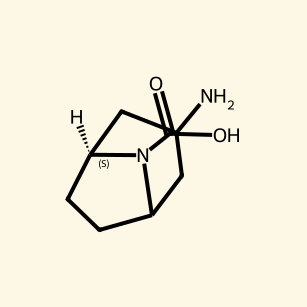 NC1CC2CC[C@@H](C1)N2C(=O)O